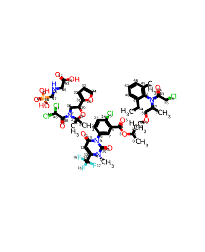 CC(C)OC(=O)c1cc(-n2c(=O)cc(C(F)(F)F)n(C)c2=O)ccc1Cl.CC1(C)OC(c2ccco2)CN1C(=O)C(Cl)Cl.CCc1cccc(C)c1N(C(=O)CCl)C(C)COC.O=C(O)CNCP(=O)(O)O